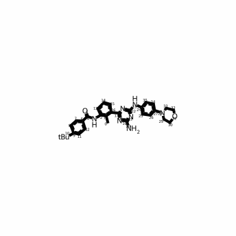 Cc1c(NC(=O)c2ccc(C(C)(C)C)cc2)cccc1-c1nc(N)nc(Nc2ccc(N3CCOCC3)cc2)n1